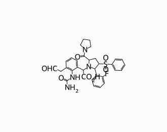 NC(=O)Nc1c(CC=O)cccc1C(C(=O)O)N1C(C(=O)N2CCCC2)CC(S(=O)(=O)c2ccccc2)C1c1ccccc1F